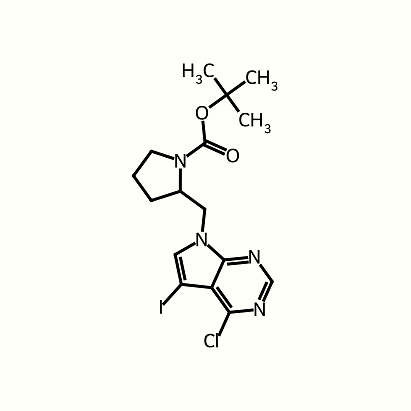 CC(C)(C)OC(=O)N1CCCC1Cn1cc(I)c2c(Cl)ncnc21